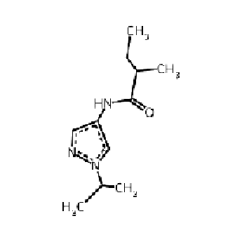 CCC(C)C(=O)Nc1cnn(C(C)C)c1